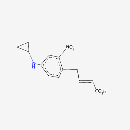 O=C(O)/C=C/Cc1ccc(NC2CC2)cc1[N+](=O)[O-]